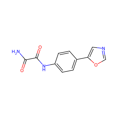 NC(=O)C(=O)Nc1ccc(-c2cnco2)cc1